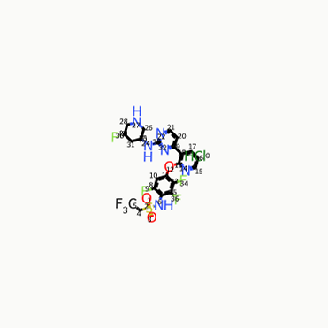 Cl.O=S(=O)(CC(F)(F)F)Nc1c(F)cc(Oc2ncccc2-c2ccnc(N[C@@H]3CNC[C@@H](F)C3)n2)c(F)c1F